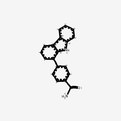 NC(=O)c1ccc(-c2cccc3c2[nH]c2ccccc23)cc1